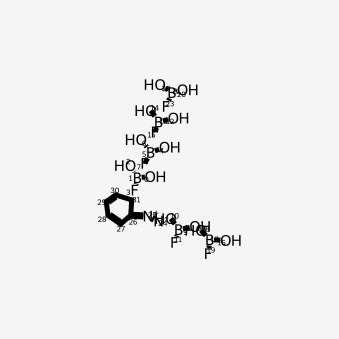 OB(O)F.OB(O)F.OB(O)F.OB(O)F.OB(O)F.OB(O)F.[N-]=[N+]=C1C=CC=CC1